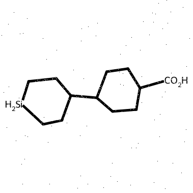 O=C(O)C1CCC(C2CC[SiH2]CC2)CC1